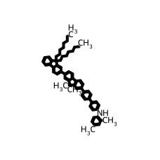 CCCCCCCCC1(CCCCCCCC)c2ccccc2-c2ccc(-c3ccc4c(c3)C(C)(C)c3cc(-c5ccc(-c6ccc(Nc7ccc(C)cc7C)cc6)cc5)ccc3-4)cc21